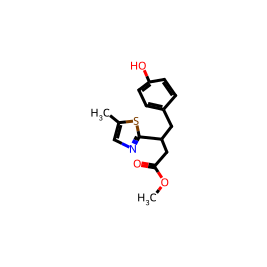 COC(=O)CC(Cc1ccc(O)cc1)c1ncc(C)s1